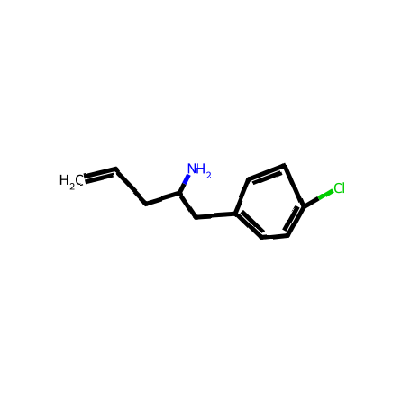 C=CCC(N)Cc1ccc(Cl)cc1